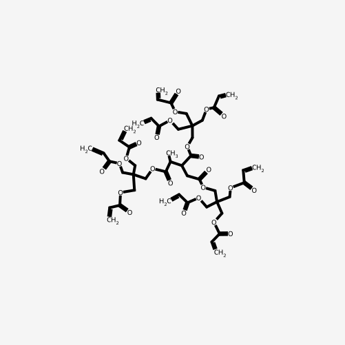 C=CC(=O)OCC(COC(=O)C=C)(COC(=O)C=C)COC(=O)CC(C(=O)OCC(COC(=O)C=C)(COC(=O)C=C)COC(=O)C=C)C(C)C(=O)OCC(COC(=O)C=C)(COC(=O)C=C)COC(=O)C=C